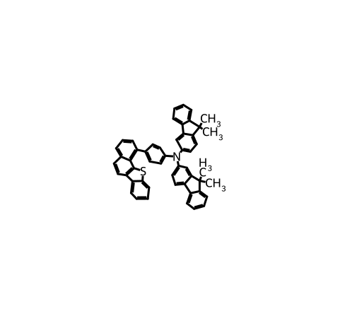 CC1(C)c2ccccc2-c2cc(N(c3ccc(-c4cccc5ccc6c7ccccc7sc6c45)cc3)c3ccc4c(c3)C(C)(C)c3ccccc3-4)ccc21